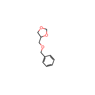 c1ccc(COCC2COCO2)cc1